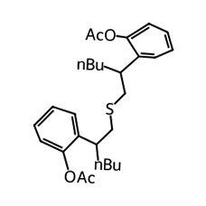 CCCCC(CSCC(CCCC)c1ccccc1OC(C)=O)c1ccccc1OC(C)=O